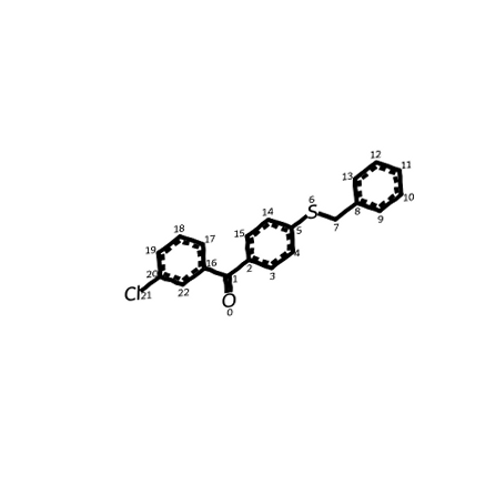 O=C(c1ccc(SCc2ccccc2)cc1)c1cccc(Cl)c1